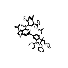 CCC(CC)Nc1cc(-c2cc3ncn(C(C)C)c3c(NC3C=C(C(=O)NC(C)C)C(C)=CC3F)n2)ccc1C(C)(CCNC=O)CCC1CCCCC1